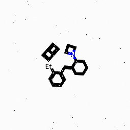 CCc1ccccc1C=C1CCCCC1N1CCC1.c1cc2ccc1-2